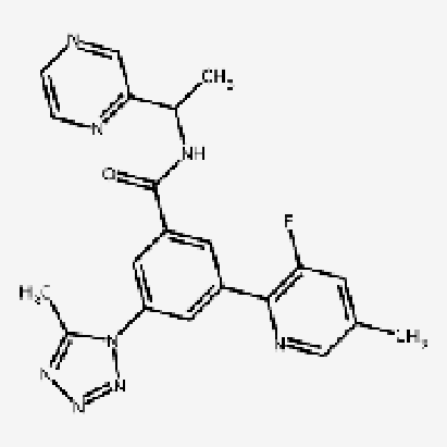 Cc1cnc(-c2cc(C(=O)NC(C)c3cnccn3)cc(-n3nnnc3C)c2)c(F)c1